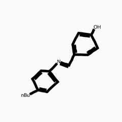 CCCCc1ccc(N=Cc2ccc(O)cc2)cc1